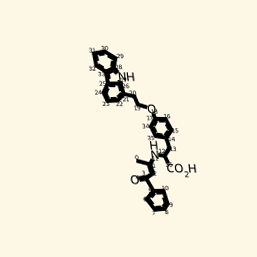 CC(=CC(=O)c1ccccc1)NC(Cc1ccc(OCCc2cccc3c2[nH]c2ccccc23)cc1)C(=O)O